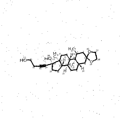 C[C@H]1CC2(C[C@@H]3CC[C@@H]4[C@H](CC[C@@]5(C)[C@H]4CC[C@@]5(O)C#CCCO)[C@]31C)OCCO2